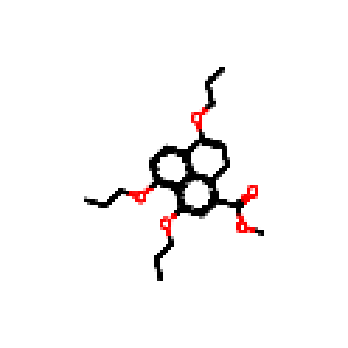 CCCOC1=CCc2c(C(=O)OC)cc(OCCC)c3c(OCCC)ccc1c23